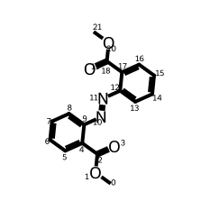 COC(=O)c1ccccc1N=Nc1ccccc1C(=O)OC